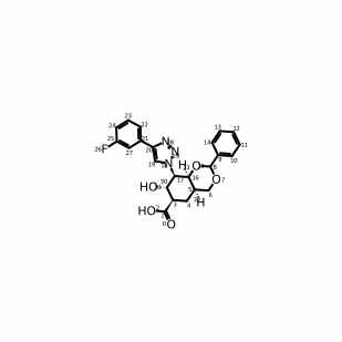 O=C(O)[C@@H]1C[C@@H]2COC(c3ccccc3)O[C@@H]2[C@H](n2cc(-c3cccc(F)c3)nn2)[C@H]1O